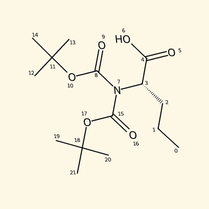 CCC[C@@H](C(=O)O)N(C(=O)OC(C)(C)C)C(=O)OC(C)(C)C